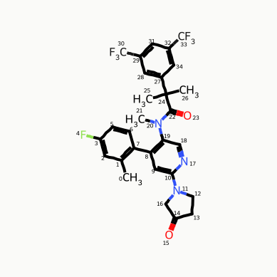 Cc1cc(F)ccc1-c1cc(N2CCC(=O)C2)ncc1N(C)C(=O)C(C)(C)c1cc(C(F)(F)F)cc(C(F)(F)F)c1